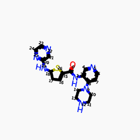 O=C(Nc1cnccc1N1CCNCC1)C1=CCC(Nc2cnccn2)S1